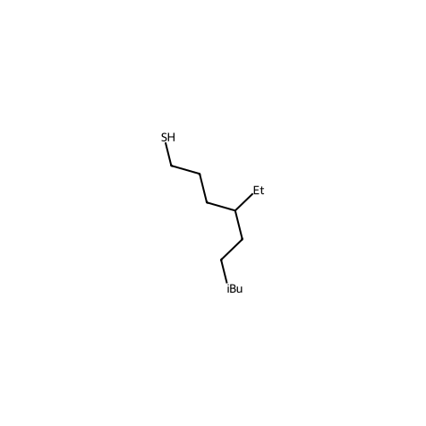 CCC(C)CCC(CC)CCCS